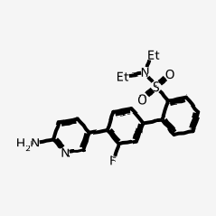 CCN(CC)S(=O)(=O)c1ccccc1-c1ccc(-c2ccc(N)nc2)c(F)c1